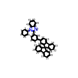 c1ccc(-n2c(-c3cccc(-c4ccc5c(c4)C4(c6ccccc6-c6ccccc64)c4ccccc4-5)c3)nc3ccccc32)cc1